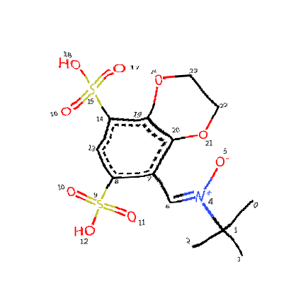 CC(C)(C)[N+]([O-])=Cc1c(S(=O)(=O)O)cc(S(=O)(=O)O)c2c1OCCO2